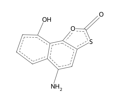 Nc1cc2sc(=O)oc2c2c(O)cccc12